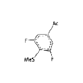 CSc1c(F)cc(C(C)=O)cc1F